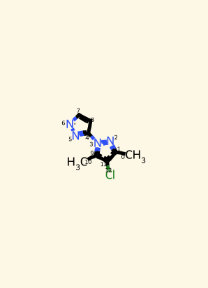 Cc1nn(C2=N[N]C=C2)c(C)c1Cl